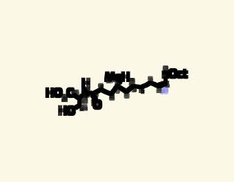 CCCCCCCC/C=C\CCCCCCCC(=O)NC(CO)C(=O)O.[MgH2]